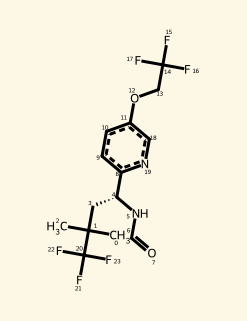 CC(C)(C[C@@H](NC=O)c1ccc(OCC(F)(F)F)cn1)C(F)(F)F